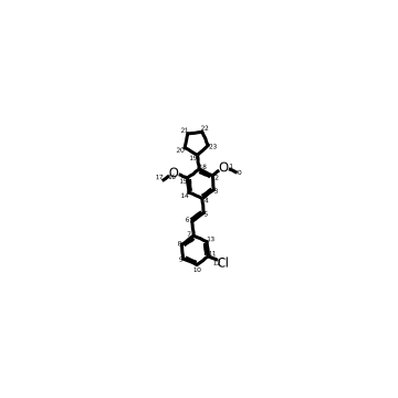 COc1cc(/C=C/c2cccc(Cl)c2)cc(OC)c1C1CCCC1